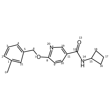 Cc1cccc(COc2ccc(C(=O)NC3CCC3)cn2)c1